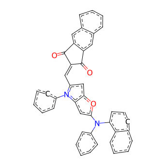 O=C1C(=Cc2cc3oc(N(c4ccccc4)c4cccc5ccccc45)cc3n2-c2ccccc2)C(=O)c2cc3ccccc3cc21